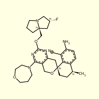 C[C@H]1CC[C@@]2(Cc3nc(OC[C@@]45CCCN4C[C@H](F)C5)nc(N4CCCOCC4)c3CO2)c2c1ccc(N)c2C#N